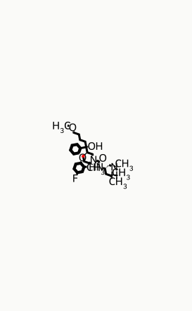 CNC[C@H](CC(C)C)NC(=O)N1CCC[C@@H]([C@@](O)(CCCCOC)c2ccccc2Oc2ccc(F)cc2C)C1